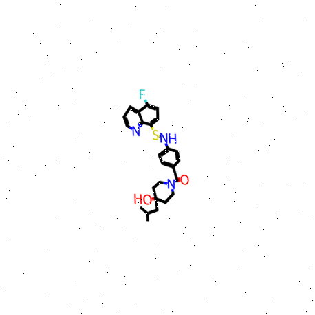 CC(C)CC1(O)CCN(C(=O)c2ccc(NSc3ccc(F)c4cccnc34)cc2)CC1